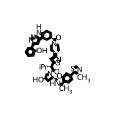 Cc1ncsc1-c1ccc([C@H](C)NC(=O)[C@@H]2C[C@@H](O)CN2C(=O)[C@@H](c2cc(N3CCN(C(=O)[C@@H]4CCc5[nH]c6nnc(-c7ccccc7O)cc6c5C4)CC3)no2)C(C)C)cc1